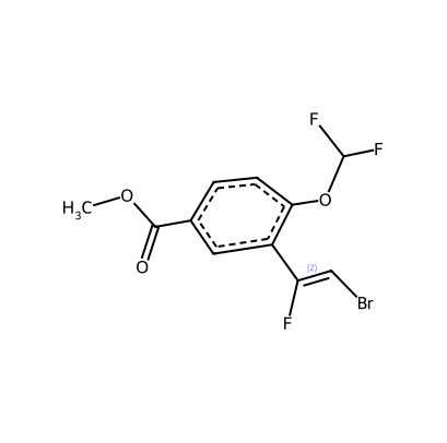 COC(=O)c1ccc(OC(F)F)c(/C(F)=C/Br)c1